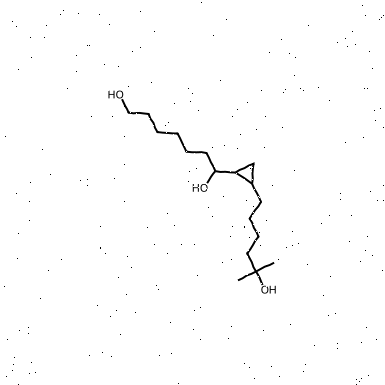 CC(C)(O)CCCCC1CC1C(O)CCCCCCO